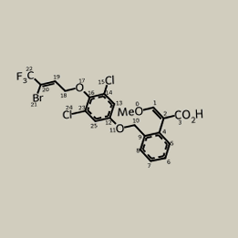 CO/C=C(/C(=O)O)c1ccccc1COc1cc(Cl)c(OCC=C(Br)C(F)(F)F)c(Cl)c1